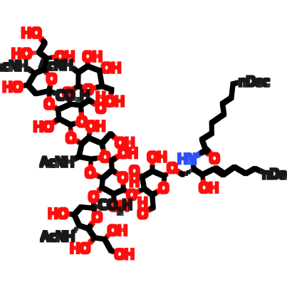 CCCCCCCCCCCCC/C=C/[C@@H](O)[C@H](CO[C@@H]1OC(CO)[C@@H](O[C@@H]2OC(CO)[C@H](O[C@@H]3OC(CO)[C@H](O)[C@H](O[C@@H]4OC(CO)[C@H](O[C@@H]5OC(CO)[C@H](O)[C@H](O)C5NC(C)=O)[C@H](O[C@]5(C(=O)O)CC(O)[C@@H](NC(C)=O)C([C@H](O)[C@H](O)CO)O5)C4O)C3NC(C)=O)[C@H](O[C@]3(C(=O)O)CC(O)[C@@H](NC(C)=O)C([C@H](O)[C@H](O)CO)O3)C2O)[C@H](O)C1O)NC(=O)CCCCCCCCCCCCCCCCC